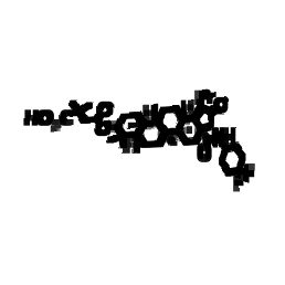 CC(C)C1=C2[C@H]3CC[C@@H]4[C@@]5(C)CC[C@H](OC(=O)CC(C)(C)C(=O)O)C(C)(C)[C@@H]5CC[C@@]4(C)[C@]3(C)CC[C@@]2(C(=O)NC2CCC(F)(F)CC2)CC1=O